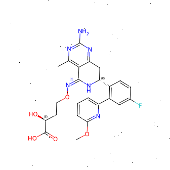 COc1cccc(-c2cc(F)ccc2[C@H]2Cc3nc(N)nc(C)c3/C(=N/OCC[C@H](O)C(=O)O)N2)n1